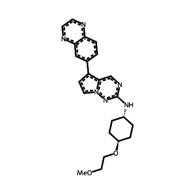 COCCO[C@H]1CC[C@H](Nc2ncc3c(-c4ccc5nccnc5c4)ccn3n2)CC1